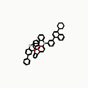 c1ccc(-c2ccc3c(c2)C2(c4ccccc4O3)c3ccccc3-c3ccc(N(c4cccc(-c5ccc(C6CCCCC6)c6ccccc56)c4)c4ccccc4C4CCCCC4)cc32)cc1